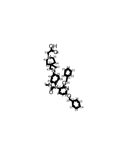 Cn1c(=O)n(-c2ccc(OCc3ccccc3)nc2OCc2ccccc2)c2ccc(N3CC4(CCN(CC(=O)O)CC4)C3)cc21